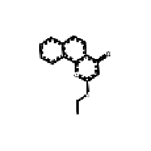 CCSc1cc(=O)c2ccc3ccccc3c2o1